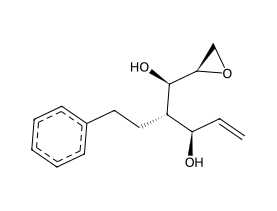 C=C[C@@H](O)[C@H](CCc1ccccc1)[C@@H](O)[C@H]1CO1